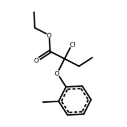 CCOC(=O)C(Cl)(CC)Oc1ccccc1C